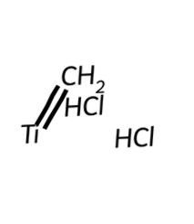 Cl.Cl.[CH2]=[Ti]